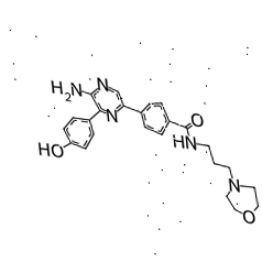 Nc1ncc(-c2ccc(C(=O)NCCCN3CCOCC3)cc2)nc1-c1ccc(O)cc1